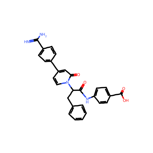 N=C(N)c1ccc(-c2ccn(C(Cc3ccccc3)C(=O)Nc3ccc(C(=O)O)cc3)c(=O)c2)cc1